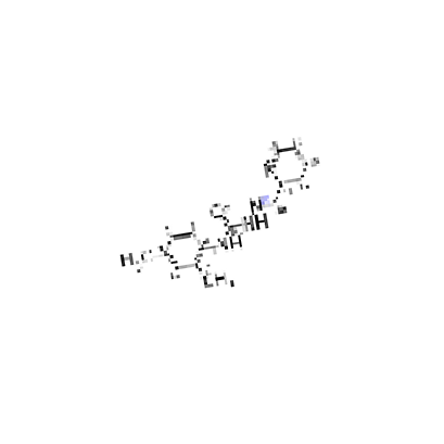 Cc1ccc(NC(=O)N/N=C/c2ccccn2)c(C)c1